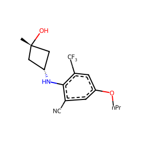 CCCOc1cc(C#N)c(N[C@H]2C[C@@](C)(O)C2)c(C(F)(F)F)c1